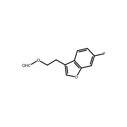 O=[C]OCCc1coc2cc(F)ccc12